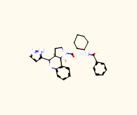 O=C(N[C@@H]1CCCC[C@@H]1C(=O)N1CCC2C(c3ccn[nH]3)Nc3ccccc3[C@@H]21)c1ccccc1